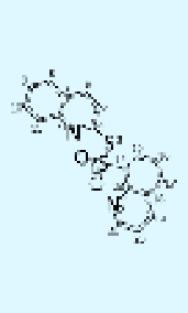 O=S(=O)(Sc1ccc2ccccc2n1)c1cccc2cccnc12